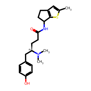 Cc1cc2c(s1)C(NC(=O)CC[C@H](Cc1ccc(O)cc1)N(C)C)CC2